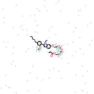 C=CC(=O)OCC(F)(F)OC(F)(F)OC(F)(F)OC(F)(F)COc1ccc2cc(-c3ccc(CCCCC)cc3OC(F)(F)F)n(CC)c2c1